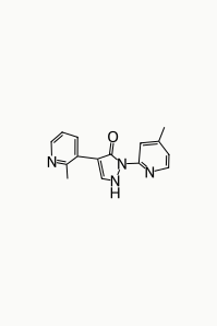 Cc1ccnc(-n2[nH]cc(-c3cccnc3C)c2=O)c1